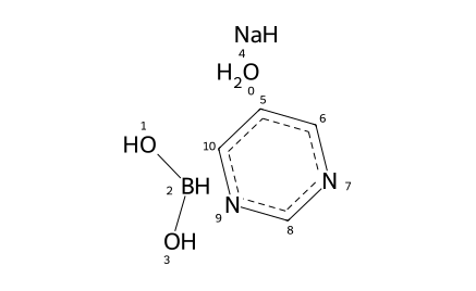 O.OBO.[NaH].c1cncnc1